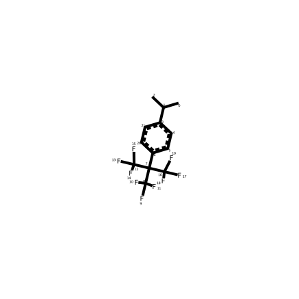 CC(C)c1ccc(C(C(F)(F)F)(C(F)(F)F)C(F)(F)F)cc1